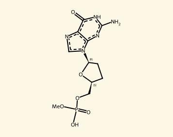 COP(=O)(O)OC[C@@H]1CC[C@H](n2cnc3c(=O)[nH]c(N)nc32)O1